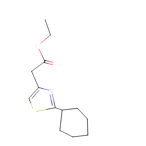 CCOC(=O)Cc1csc(C2CCCCC2)n1